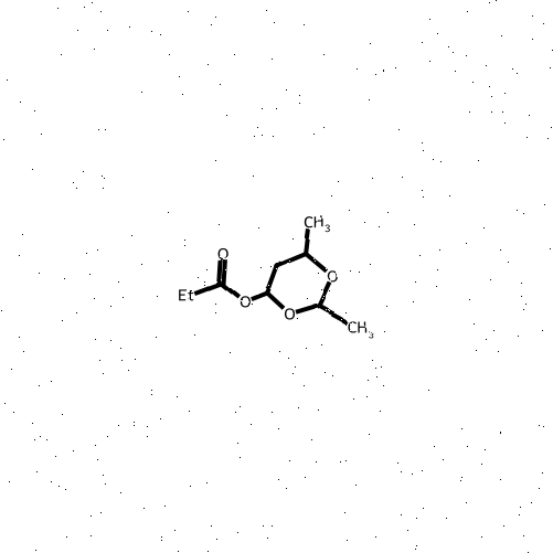 CCC(=O)OC1CC(C)OC(C)O1